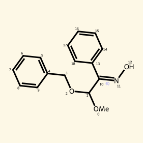 COC(OCc1ccccc1)/C(=N/O)c1ccccc1